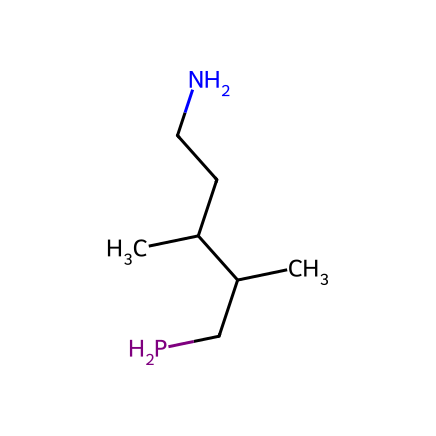 CC(CP)C(C)CCN